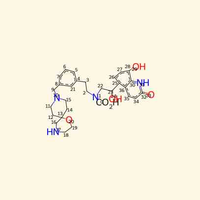 O=C(O)N(CCc1cccc(CN2CCC3(CC2)CNCCO3)c1)CC(O)c1ccc(O)c2[nH]c(=O)ccc12